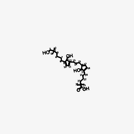 CC(C)(CO)CCCCC1=CC=C(CCCC2=CC=C(CCCCC(C)(C)C(=O)O)C2O)C1O